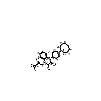 O=C(Cn1c(=O)c(=O)n(C2CCN(C3CCCCCCC3)CC2)c2ccccc21)C1CO1